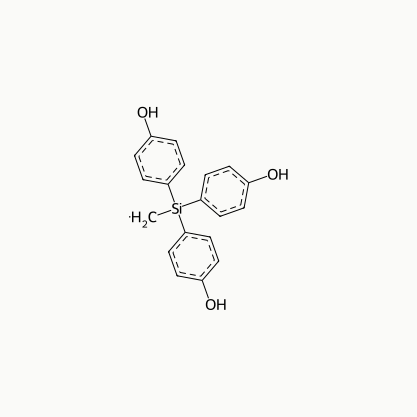 [CH2][Si](c1ccc(O)cc1)(c1ccc(O)cc1)c1ccc(O)cc1